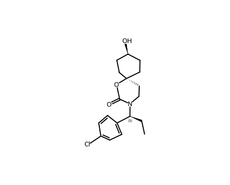 CC[C@@H](c1ccc(Cl)cc1)N1CC[C@]2(CC[C@H](O)CC2)OC1=O